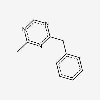 Cc1ncnc(Cc2ccccc2)n1